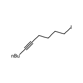 CCCCC#CCCCCI